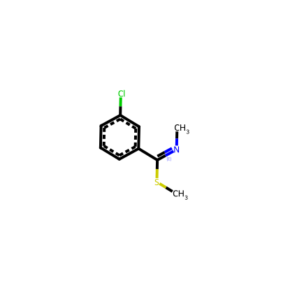 C/N=C(/SC)c1cccc(Cl)c1